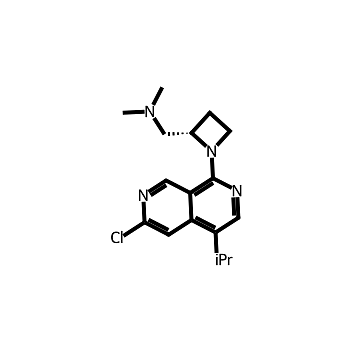 CC(C)c1cnc(N2CC[C@H]2CN(C)C)c2cnc(Cl)cc12